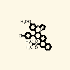 COc1ccc(C2C(c3ccc(Cl)cc3)Cc3c(ccc4c3C(S(=O)(=O)C(C)C)Cc3ccccc3-4)C2n2cccc2)c(F)c1